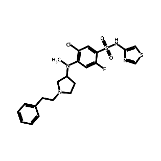 CN(c1cc(F)c(S(=O)(=O)Nc2cscn2)cc1Cl)C1CCN(CCc2ccccc2)C1